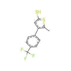 Cc1sc(S)cc1-c1ccc(C(F)(F)F)cc1